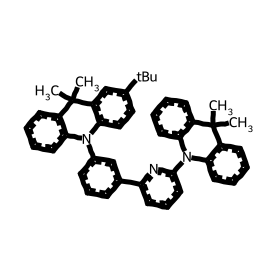 CC(C)(C)c1ccc2c(c1)C(C)(C)c1ccccc1N2c1cccc(-c2cccc(N3c4ccccc4C(C)(C)c4ccccc43)n2)c1